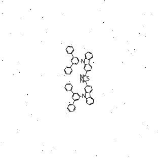 c1ccc(-c2cc(-c3ccccc3)cc(-n3c4ccccc4c4ccc(-c5nnc(-c6ccc7c8ccccc8n(-c8cc(-c9ccccc9)cc(-c9ccccc9)c8)c7c6)s5)cc43)c2)cc1